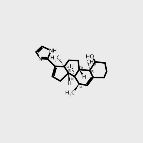 C[C@@H]1C=C2CCCC(O)[C@]2(C)[C@H]2CC[C@]3(C)C(c4ncc[nH]4)=CC[C@H]3[C@H]12